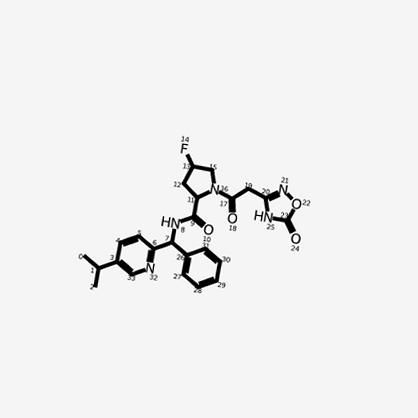 CC(C)c1ccc(C(NC(=O)C2CC(F)CN2C(=O)Cc2noc(=O)[nH]2)c2ccccc2)nc1